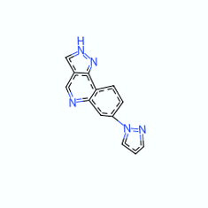 c1cnn(-c2ccc3c(c2)ncc2c[nH]nc23)c1